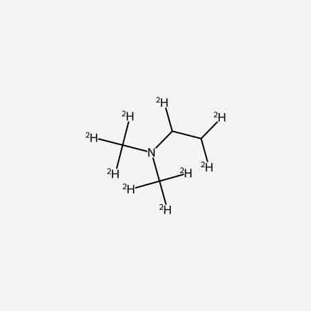 [2H]C([2H])C([2H])N(C([2H])([2H])[2H])C([2H])([2H])[2H]